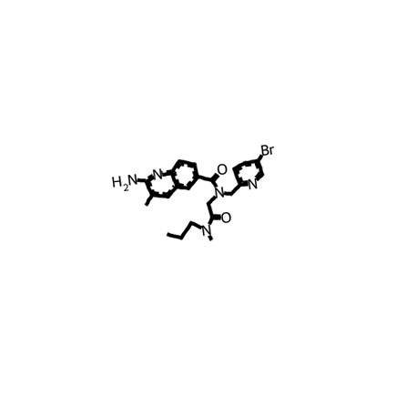 CCCN(C)C(=O)CN(Cc1ccc(Br)cn1)C(=O)c1ccc2nc(N)c(C)cc2c1